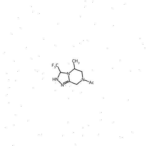 CC(=O)N1CC2=NNC(C(F)(F)F)N2C(C)C1